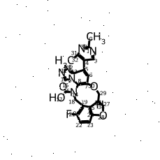 Cc1ncc(-c2cc3c(n4cnnc24)N(C(=O)O)Cc2c(F)ccc4c2[C@@H](CO4)CO3)c(C)n1